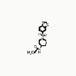 C=CC(=O)NC1CCCN(S(=O)(=O)c2ccc3ncsc3c2)CC1